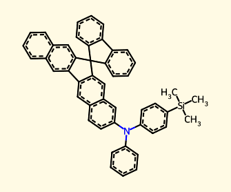 C[Si](C)(C)c1ccc(N(c2ccccc2)c2ccc3cc4c(cc3c2)C2(c3ccccc3-c3ccccc32)c2cc3ccccc3cc2-4)cc1